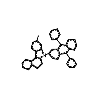 Cc1ccc2c3c4ccccc4ccc3n(-c3ccc4c(-c5ccccc5)c5ccccc5c(-c5ccccc5)c4c3)c2c1